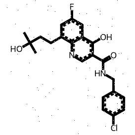 CC(C)(O)CCc1cc(F)cc2c(O)c(C(=O)NCc3ccc(Cl)cc3)cnc12